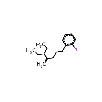 C=C(CCCc1ccccc1I)C(CC)CC